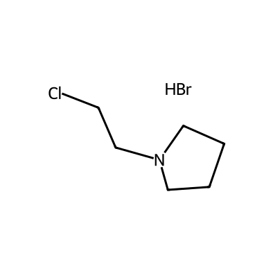 Br.ClCCN1CCCC1